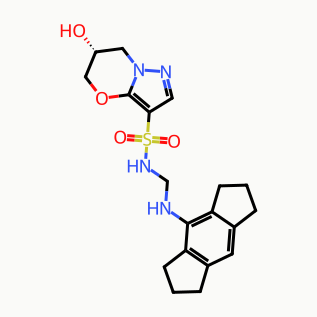 O=S(=O)(NCNc1c2c(cc3c1CCC3)CCC2)c1cnn2c1OC[C@H](O)C2